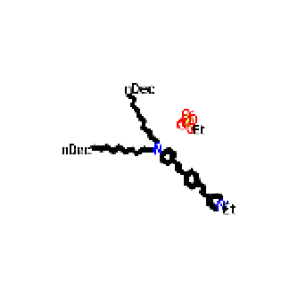 CCCCCCCCCCCCCCCCCCCCN(CCCCCCCCCCCCCCCCCCCC)c1ccc(C=Cc2ccc(C=Cc3cc[n+](CC)cc3)cc2)cc1.CCOS(=O)(=O)[O-]